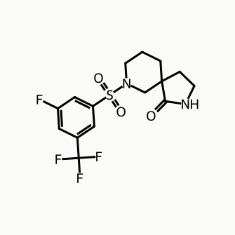 O=C1NCCC12CCCN(S(=O)(=O)c1cc(F)cc(C(F)(F)F)c1)C2